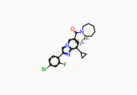 C[C@@H]1CCCCCN1C(=O)c1cc(C2CC2)c2nc(-c3ccc(Br)cc3F)cn2c1